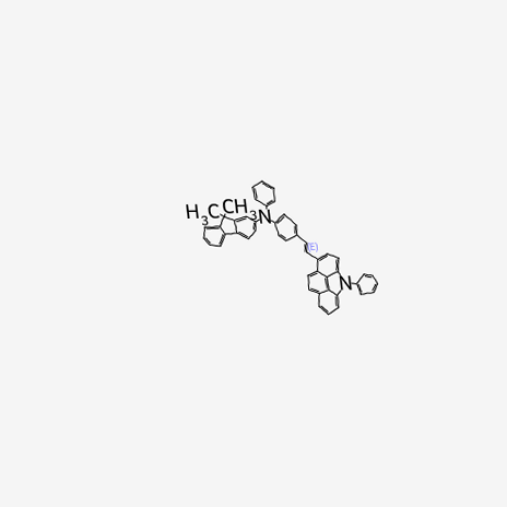 CC1(C)c2ccccc2-c2ccc(N(c3ccccc3)c3ccc(/C=C/c4ccc5c6c4ccc4cccc(c46)n5-c4ccccc4)cc3)cc21